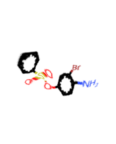 Nc1ccc(OS(=O)(=O)c2ccccc2)cc1Br